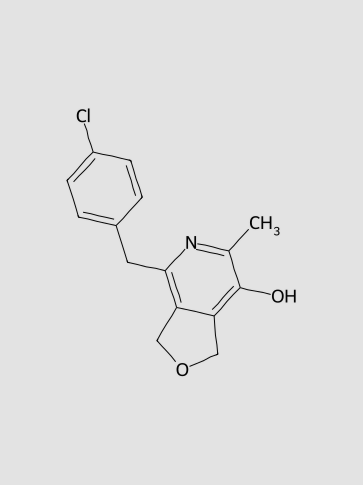 Cc1nc(Cc2ccc(Cl)cc2)c2c(c1O)COC2